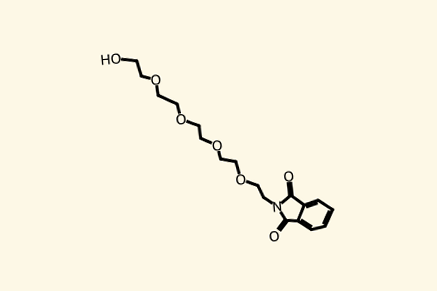 O=C1c2ccccc2C(=O)N1CCOCCOCCOCCOCCO